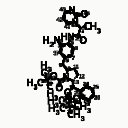 C[C@@H](C(=O)Nc1ccc(CC2CC[C@H]([C@H](O[Si](C)(C)C(C)(C)C)c3ccccc3)N2C(=O)OC(C)(C)C)cc1N)n1cccnc1=O